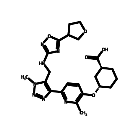 Cc1nc(-c2nnn(C)c2CNc2noc(C3CCOC3)n2)ccc1O[C@H]1CCC[C@H](C(=O)O)C1